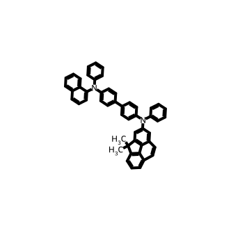 CC1(C)c2cccc3ccc4cc(N(c5ccccc5)c5ccc(-c6ccc(N(c7ccccc7)c7cccc8ccccc78)cc6)cc5)cc1c4c23